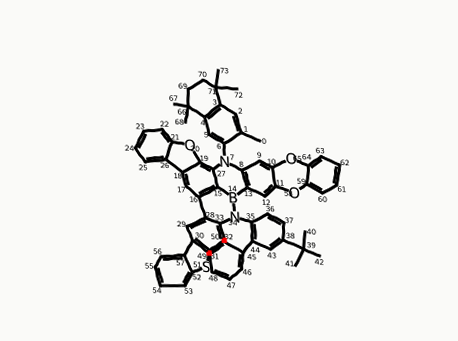 Cc1cc2c(cc1N1c3cc4c(cc3B3c5c(cc6c(oc7ccccc76)c51)-c1cc5c(cc1N3c1ccc(C(C)(C)C)cc1-c1ccccc1)sc1ccccc15)Oc1ccccc1O4)C(C)(C)CCC2(C)C